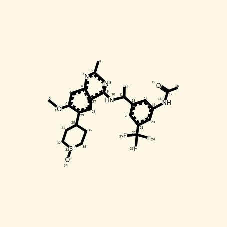 COc1cc2nc(C)nc(NC(C)c3cc(NC(C)=O)cc(C(F)(F)F)c3)c2cc1C1CC[S+]([O-])CC1